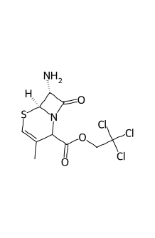 CC1=CS[C@H]2[C@H](N)C(=O)N2C1C(=O)OCC(Cl)(Cl)Cl